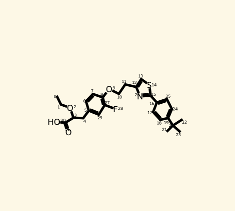 CCOC(Cc1ccc(OCCc2csc(-c3ccc(C(C)(C)C)cc3)n2)c(F)c1)C(=O)O